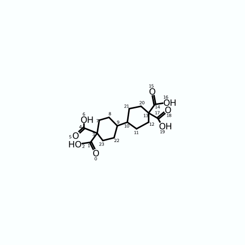 O=C(O)C1(C(=O)O)CCC(C2CCC(C(=O)O)(C(=O)O)CC2)CC1